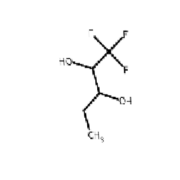 CCC(O)C(O)C(F)(F)F